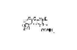 NC(=O)Cc1ccc(Oc2ccc3c(c2)OCO3)nc1F